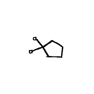 ClC1(Cl)[CH]CCC1